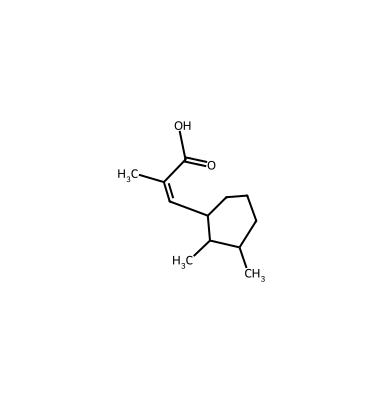 CC(=CC1CCCC(C)C1C)C(=O)O